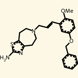 COc1ccc(OCc2ccccc2)cc1C=CCN1CCc2nc(N)sc2CC1